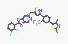 Cc1nc(C)c(-c2ccc(-c3cc(Cn4cc5nc(-c6cccc(F)c6F)nc-5cn4)on3)c(C(F)(F)F)c2)s1